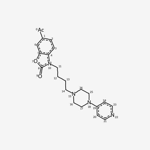 CC(=O)c1ccc2c(c1)oc(=O)n2CCCCN1CCN(c2ccncc2)CC1